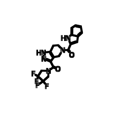 O=C(c1cc2ccccc2[nH]1)N1CCc2[nH]nc(C(=O)N3CC(F)(F)C(F)(F)C3)c2C1